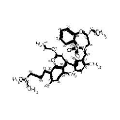 CCOC(=O)CC(c1ccc(C)c(CN2C[C@@H](CC)Oc3ccccc3S2(=O)=O)c1)c1cc(CCCN(C)C)c(F)cc1C